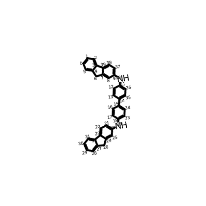 c1ccc2c(c1)Cc1cc(Nc3ccc(-c4ccc(Nc5ccc6c(c5)Cc5ccccc5-6)cc4)cc3)ccc1-2